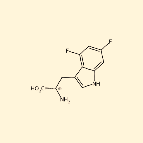 N[C@@H](Cc1c[nH]c2cc(F)cc(F)c12)C(=O)O